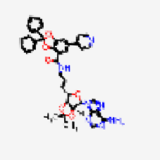 CC1(C)OC2[C@@H](/C=C/CNC(=O)c3cc(-c4ccncc4)cc4c3OC(c3ccccc3)(c3ccccc3)O4)O[C@@H](n3cnc4c(N)ncnc43)[C@H]2O1